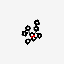 c1ccc(-c2ccc(-c3ccccc3N(c3ccc(-c4ccccc4)cc3)c3cccc(-n4c5ccccc5c5ccccc54)c3)cc2)cc1